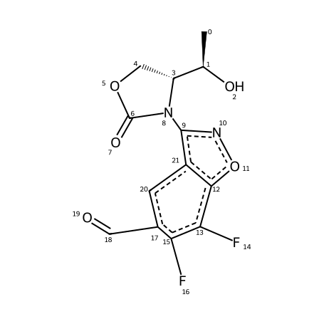 C[C@@H](O)[C@H]1COC(=O)N1c1noc2c(F)c(F)c(C=O)cc12